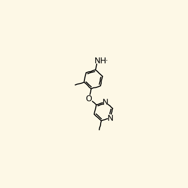 Cc1cc(Oc2ccc([NH])cc2C)ncn1